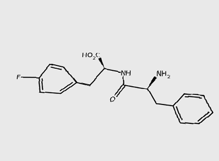 N[C@@H](Cc1ccccc1)C(=O)N[C@@H](Cc1ccc(F)cc1)C(=O)O